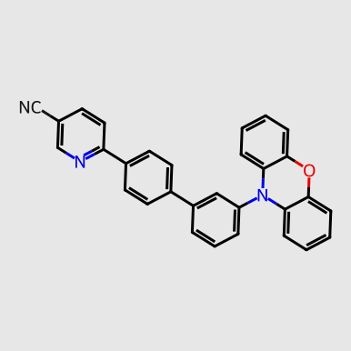 N#Cc1ccc(-c2ccc(-c3cccc(N4c5ccccc5Oc5ccccc54)c3)cc2)nc1